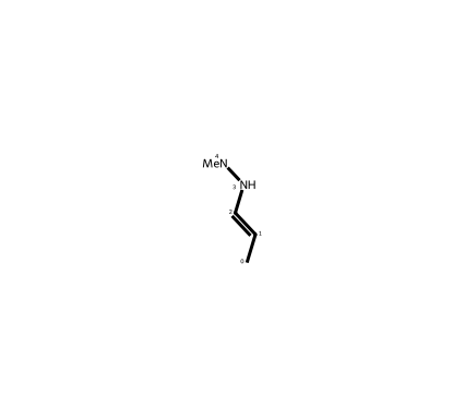 CC=CNNC